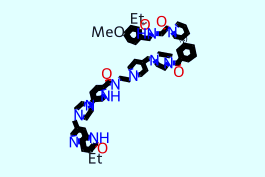 CCOc1cc(OC)ccc1CNCC(=O)N1CCC[C@H](c2cccc(C(=O)N3CCN(CC4CCN(CCNC(=O)c5ccc(N6CCN(Cc7cnc8cc(CC)c(=O)[nH]c8c7)CC6)cn5)CC4)CC3)c2)C1